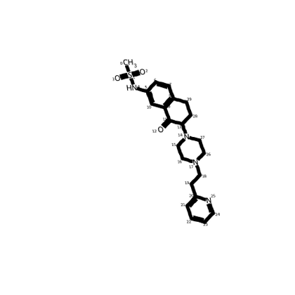 CS(=O)(=O)Nc1ccc2c(c1)C(=O)C(N1CCN(CCc3ccccn3)CC1)CC2